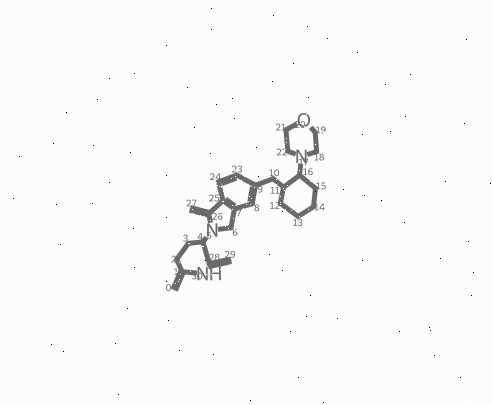 C=C1CCC(N2Cc3cc(CC4CCCCC4N4CCOCC4)ccc3C2=C)C(=C)N1